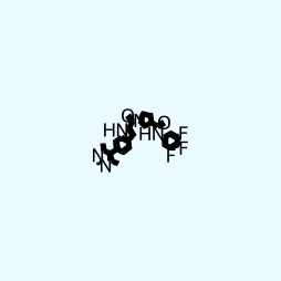 Cc1ncnc(C)c1-c1ccc2cc(C(=O)N3CCC(C(=O)Nc4cc(F)c(F)c(F)c4)C3)[nH]c2c1